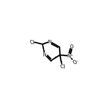 O=[N+]([O-])C1(Cl)C=NC(Cl)N=C1